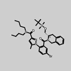 CCCCN(CCCC)C(=O)c1cc(C)n(-c2ccc(Br)cc2C(=O)N2Cc3ccccc3C[C@H]2CO[Si](C)(C)C(C)(C)C)n1